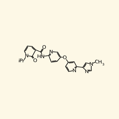 CC(C)n1cccc(C(=O)Nc2ccc(Oc3ccnc(-c4cn(C)cn4)c3)cn2)c1=O